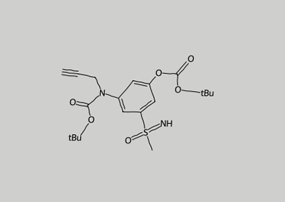 C#CCN(C(=O)OC(C)(C)C)c1cc(OC(=O)OC(C)(C)C)cc(S(C)(=N)=O)c1